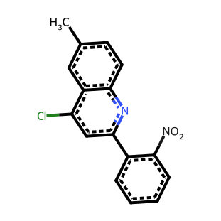 Cc1ccc2nc(-c3ccccc3[N+](=O)[O-])cc(Cl)c2c1